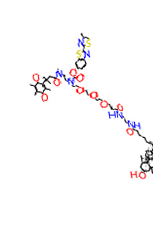 CC1=C(C)C(=O)C(C(C)(C)CC(=O)N(C)CCN(CCOCCOCCOCCC(=O)NCCNC(=O)CCCC[C@H](C)[C@@H]2CC[C@@H]3[C@@H]4[C@@H](CC[C@]32C)[C@]2(C)CC[C@H](O)C[C@@H]2C[C@@H]4O)C(=O)Oc2ccc3nc(C4=NC(C)CS4)sc3c2)=C(C)C1=O